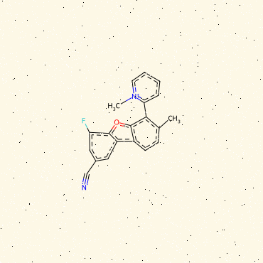 Cc1ccc2c(oc3c(F)cc(C#N)cc32)c1-c1cccc[n+]1C